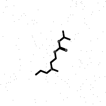 CCCN(C)CCOC(=O)OC(C)C